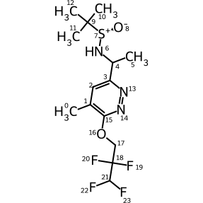 Cc1cc(C(C)N[S@+]([O-])C(C)(C)C)nnc1OCC(F)(F)C(F)F